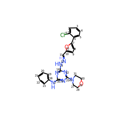 Clc1ccccc1-c1ccc(/C=N/Nc2nc(Nc3ccccc3)nc(N3CCOCC3)n2)o1